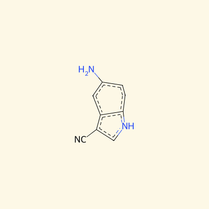 N#Cc1c[nH]c2ccc(N)cc12